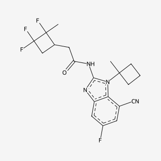 CC1(n2c(NC(=O)CC3CC(F)(F)C3(C)F)nc3cc(F)cc(C#N)c32)CCC1